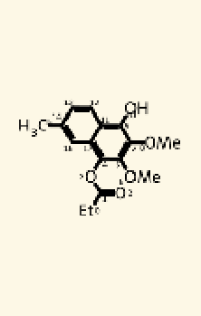 CCC(=O)Oc1c(OC)c(OC)c(O)c2ccc(C)cc12